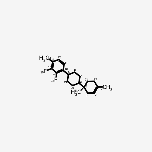 CC1=CC[C@](C)(C2CCC(c3ccc(C)c(F)c3F)CC2)CC1